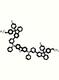 C=Cc1ccc(C2(C3=CC=C(F)CC3)C3=C(CCC=C3)c3ccc(C4C=CC=C(N(c5ccc6c(c5)oc5cc(N(C7=CC=CCC7)C7=CC(C8=CC9C(C=C8)C8=C(C=CCC8)C9(C8=CC=C(F)CC8)c8ccc(C=C)cc8)=CCC7)ccc56)C5C=CC=CC5)C4)cc32)cc1